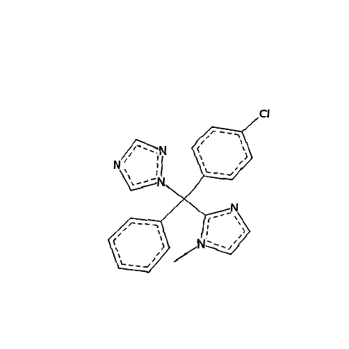 Cn1ccnc1C(c1ccccc1)(c1ccc(Cl)cc1)n1cncn1